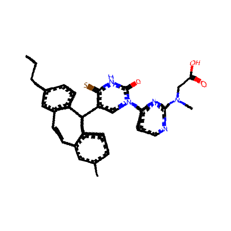 CCCc1ccc2c(c1)C=Cc1cc(C)ccc1C2c1cn(-c2ccnc(N(C)CC(=O)O)n2)c(=O)[nH]c1=S